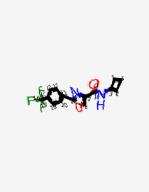 O=C(NC1CCC1)c1coc(-c2ccc(C(F)(F)F)cc2)n1